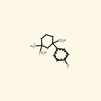 CC1(C(=O)O)CCCC(C(=O)O)(c2ccc(Cl)cc2)C1